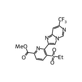 CCS(=O)(=O)c1ccc(C(=O)OC)nc1-c1cn2cnc(C(F)(F)F)cc2n1